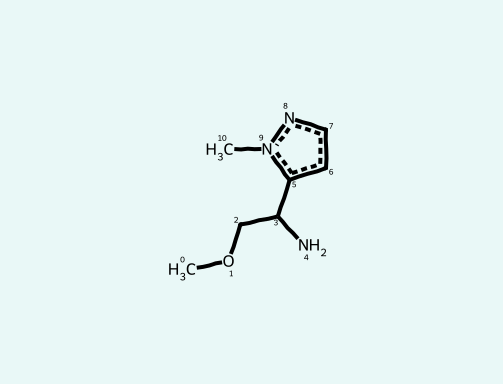 COCC(N)c1ccnn1C